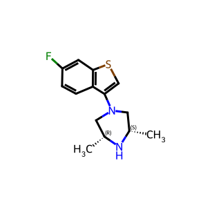 C[C@@H]1CN(c2csc3cc(F)ccc23)C[C@H](C)N1